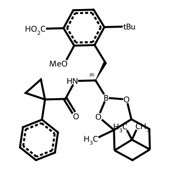 COc1c(C(=O)O)ccc(C(C)(C)C)c1C[C@H](NC(=O)C1(c2ccccc2)CC1)B1OC2CC3CC(C3(C)C)C2(C)O1